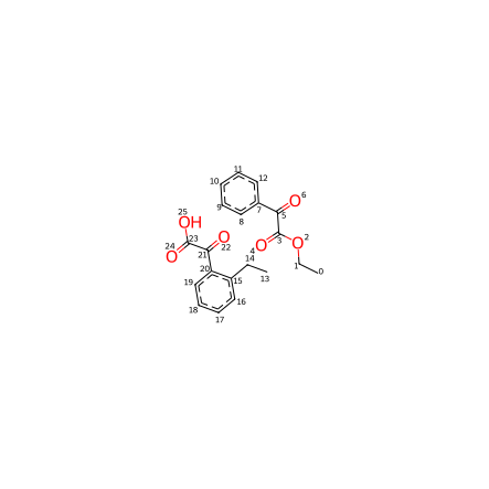 CCOC(=O)C(=O)c1ccccc1.CCc1ccccc1C(=O)C(=O)O